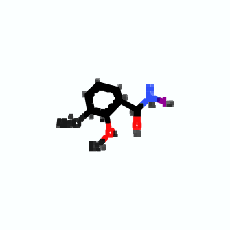 CCOc1c(OC)cccc1C(=O)NI